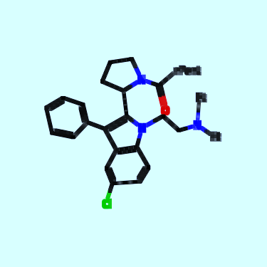 CCCCCC(=O)N1CCCC1c1c(-c2ccccc2)c2cc(Cl)ccc2n1CCN(CC)CC